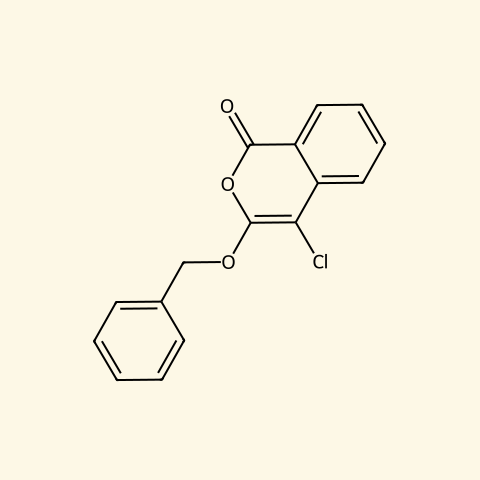 O=c1oc(OCc2ccccc2)c(Cl)c2ccccc12